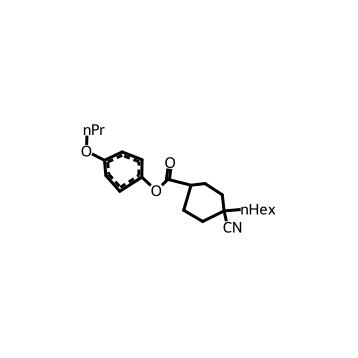 CCCCCCC1(C#N)CCC(C(=O)Oc2ccc(OCCC)cc2)CC1